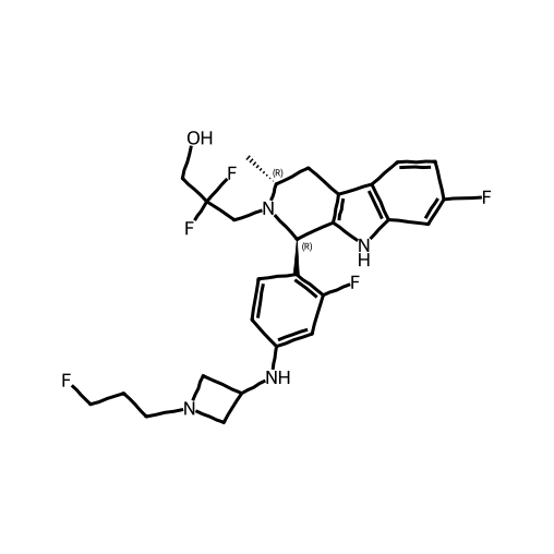 C[C@@H]1Cc2c([nH]c3cc(F)ccc23)[C@@H](c2ccc(NC3CN(CCCF)C3)cc2F)N1CC(F)(F)CO